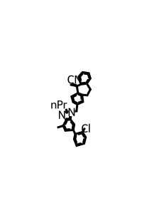 CCCc1nc2c(C)cc(-c3ccccc3Cl)cc2n1Cc1ccc2c(c1)CCc1ccccc1C2=CC#N